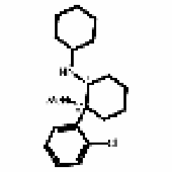 CN[C@@]1(c2ccccc2Cl)CCCC[C@@H]1NC1CCCCC1